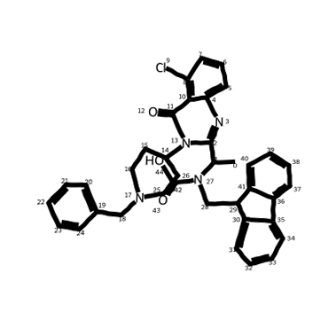 CC(c1nc2cccc(Cl)c2c(=O)n1C1CCN(Cc2ccccc2)CC1)N(CC1c2ccccc2-c2ccccc21)C(=O)O